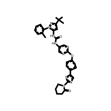 Cc1ccccc1-n1nc(C(C)(C)C)cc1NC(=O)Nc1cnc(Oc2ccc(-c3cnc(N4CCCCC4=O)s3)cc2)nc1